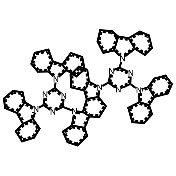 c1ccc2c(c1)c1ccccc1n2-c1nc(-n2c3ccccc3c3ccccc32)nc(-n2c3ccccc3c3c2ccc2c4ccccc4n(-c4nc(-n5c6ccccc6c6ccccc65)nc(-n5c6ccccc6c6ccccc65)n4)c23)n1